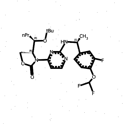 CCC[C@@H](OC(C)(C)C)[C@H]1COC(=O)N1c1ccnc(N[C@@H](C)c2ccc(OC(F)F)c(F)c2)n1